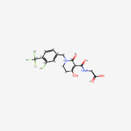 O=C(O)CNC(=O)C1=C(O)CCN(Cc2ccc(C(F)(F)F)c(F)c2)C1=O